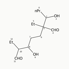 CCCC(O)C(C=O)(CC)CCC(O)C(C=O)CC